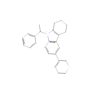 CC(c1ccccc1)n1c2c(c3cc(C4=CCCNC4)ccc31)CCCC2